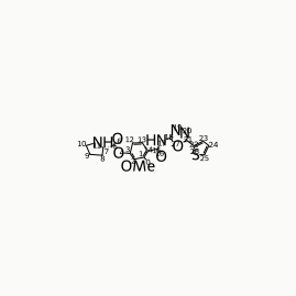 COc1cc(OC(=O)[C@@H]2CCCN2)ccc1C(=O)Nc1nnc(-c2cccs2)o1